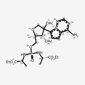 CCOC(=O)[C@H](C)NP(=O)(N[C@@H](C)C(=O)OCC)OC[C@@]1(C)OCC(OC(C)=O)(c2ccc3c(N)ncnn23)[C@@H]1OC(C)=O